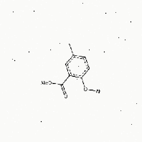 COC(=O)c1cc(C)ccc1[O][Al]